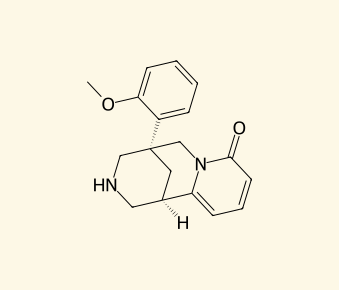 COc1ccccc1[C@@]12CNC[C@@H](C1)c1cccc(=O)n1C2